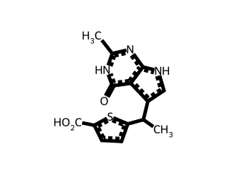 Cc1nc2[nH]cc(C(C)c3ccc(C(=O)O)s3)c2c(=O)[nH]1